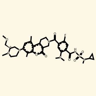 COC[C@H]1CN(c2cc(C)c3c4c(c(=O)oc3c2C)CN(C(=O)c2cc(N(C)C)c(C(=O)NS(=O)(=O)N(C)C3CC3)cc2F)CC4)CCN1C